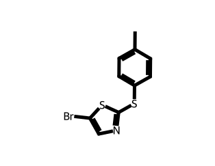 Cc1ccc(Sc2ncc(Br)s2)cc1